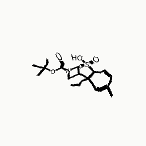 CCC1(C2CN(C(=O)OC(C)(C)C)C2)C=C(C)C=CC1S(=O)(=O)O